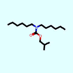 CCCCCCN(CCCCCC)C(=O)OCC(C)C